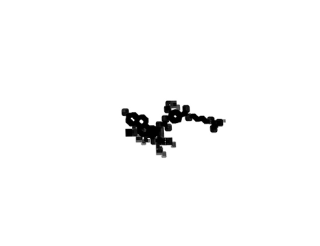 COc1cc(C(=O)OCCCCO[N+](=O)[O-])ccc1OC(=O)OCC(=O)[C@@]12OC(C)(C)O[C@@H]1CC1C3CCC4=CC(=O)C=C[C@]4(C)[C@@]3(F)[C@@H](O)C[C@@]12C